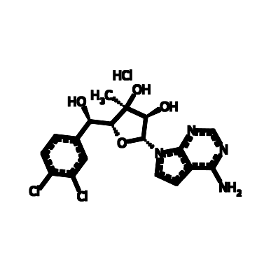 C[C@@]1(O)[C@@H]([C@H](O)c2ccc(Cl)c(Cl)c2)O[C@@H](n2ccc3c(N)ncnc32)[C@@H]1O.Cl